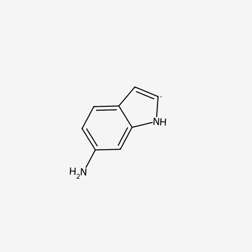 Nc1ccc2c[c][nH]c2c1